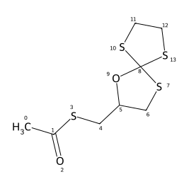 CC(=O)SCC1CSC2(O1)SCCS2